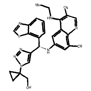 CC(C)(C)CNc1c(C#N)cnc2c(C#N)cc(N[C@H](c3cn(C4(CO)CC4)nn3)c3cccc4ncsc34)cc12